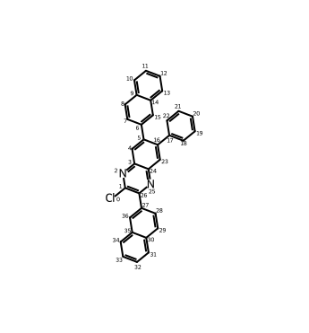 Clc1nc2cc(-c3ccc4ccccc4c3)c(-c3ccccc3)cc2nc1-c1ccc2ccccc2c1